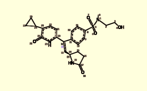 CN(CCO)S(=O)(=O)c1ccc(/C(=C\[C@H]2CCC(=O)N2)c2ccc(C3CC3)c(=O)[nH]2)cc1